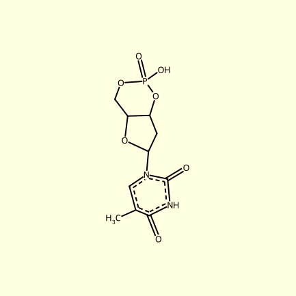 Cc1cn(C2CC3OP(=O)(O)OCC3O2)c(=O)[nH]c1=O